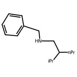 C[CH]CC(CNCc1ccccc1)C(C)C